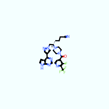 N#CCCC[C@@H](Cn1cc(-c2ncnc3[nH]ccc23)cn1)N1CCN(C(=O)c2ccnc(C(F)(F)F)c2F)CC1